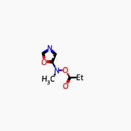 CCC(=O)ON(C)c1cnco1